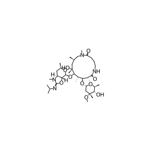 CO[C@]1(C)C[C@H](O[C@H]2[C@H](C)[C@@H](O[C@@H]3O[C@H](C)C[C@H]4[C@H]3O/C(=N/C(C)C)N4C)[C@](C)(O)C[C@@H](C)CN(C)C(=O)CCCNC(=O)[C@@H]2C)O[C@@H](C)[C@@H]1O